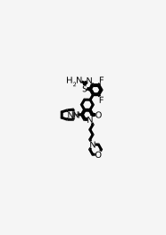 Nc1nc2c(F)cc(F)c(C3CCc4c(N5CC6CCC(C5)N6)cn(CCCCN5CCOCC5)c(=O)c4C3)c2s1